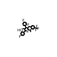 CC(C)c1nc(-c2ccc(F)cc2)c(CO)c(-c2ccc(F)cc2)c1C(F)c1ccc(C(F)(F)F)cc1